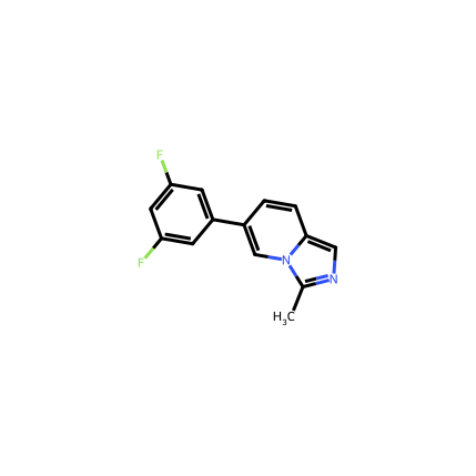 Cc1ncc2ccc(-c3cc(F)cc(F)c3)cn12